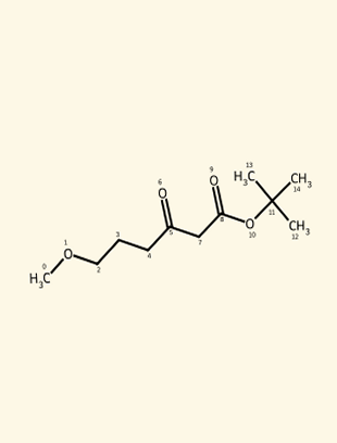 COCCCC(=O)CC(=O)OC(C)(C)C